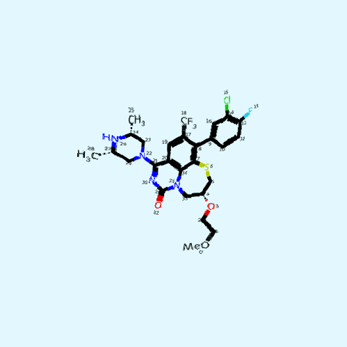 COCCO[C@H]1CSc2c(-c3ccc(F)c(Cl)c3)c(C(F)(F)F)cc3c(N4C[C@@H](C)N[C@@H](C)C4)nc(=O)n(c23)C1